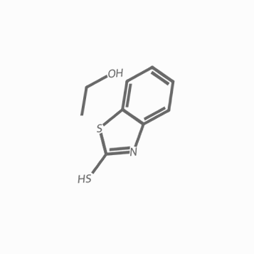 CCO.Sc1nc2ccccc2s1